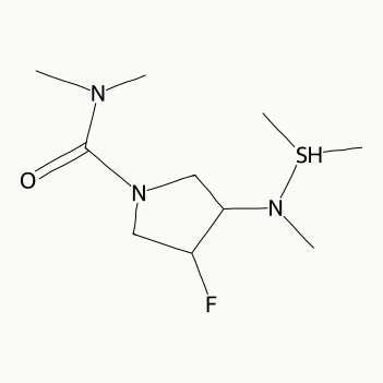 CN(C)C(=O)N1CC(F)C(N(C)[SH](C)C)C1